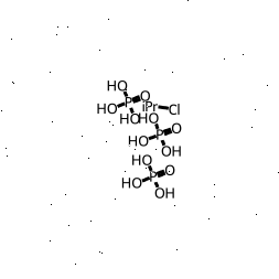 CC(C)Cl.O=P(O)(O)O.O=P(O)(O)O.O=P(O)(O)O